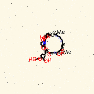 CO[C@H]1C[C@@H]2CC[C@@H](C)[C@@](O)(O2)C(=O)C(=O)N2CCCC[C@H]2C(=O)O[C@H]([C@H](C)C[C@@H]2CC[C@@H](OCCO)[C@H](CO)C2)CC(=O)[C@H](C)/C=C(\C)[C@@H](O)[C@@H](OC)C(=O)[C@H](C)C[C@H](C)/C=C/C=C/C=C/1C